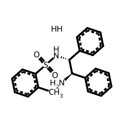 Cc1ccccc1S(=O)(=O)N[C@H](c1ccccc1)[C@H](N)c1ccccc1.[HH]